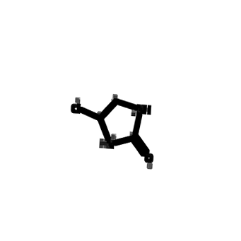 O=C1N[CH]C(Cl)N1